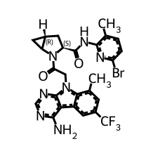 Cc1ccc(Br)nc1NC(=O)[C@@H]1C[C@H]2CC2N1C(=O)Cn1c2ncnc(N)c2c2cc(C(F)(F)F)cc(C)c21